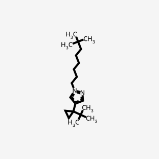 CC(C)(C)CCCCCCn1cc(C2(C(C)(C)C)CC2)cn1